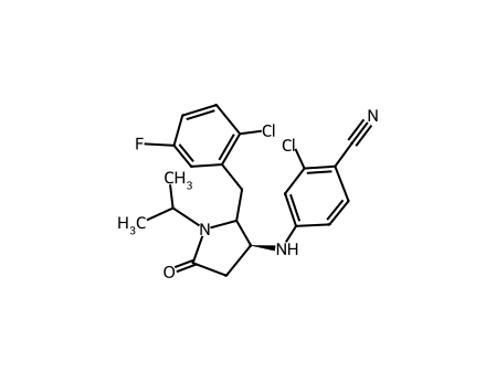 CC(C)N1C(=O)C[C@H](Nc2ccc(C#N)c(Cl)c2)C1Cc1cc(F)ccc1Cl